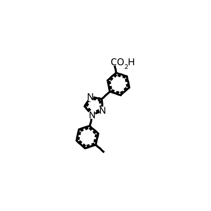 Cc1cccc(-n2cnc(-c3cccc(C(=O)O)c3)n2)c1